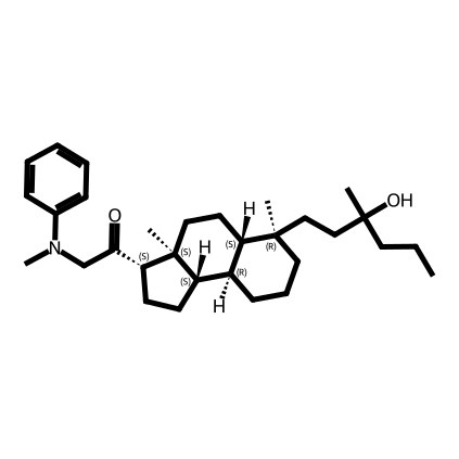 CCCC(C)(O)CC[C@@]1(C)CCC[C@@H]2[C@@H]1CC[C@]1(C)[C@@H](C(=O)CN(C)c3ccccc3)CC[C@@H]21